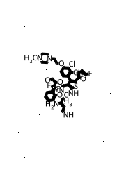 CNc1sc(-c2ccc(F)o2)c(-c2ccc(OCCN3CCN(C)CC3)c(Cl)c2C)c1C(=N)OC(C=O)C(F)(F)c1ccccc1OC/C(N)=C/C=N